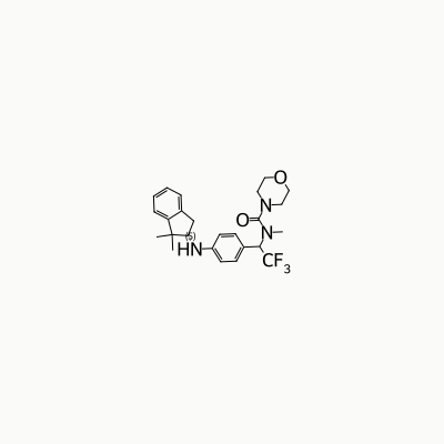 CN(C(=O)N1CCOCC1)C(c1ccc(N[C@H]2Cc3ccccc3C2(C)C)cc1)C(F)(F)F